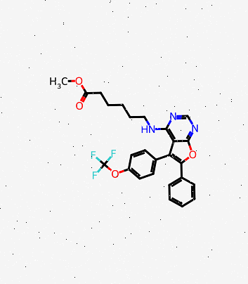 COC(=O)CCCCCNc1ncnc2oc(-c3ccccc3)c(-c3ccc(OC(F)(F)F)cc3)c12